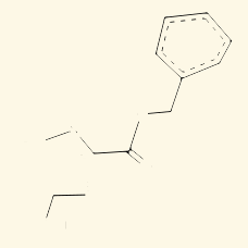 O=CN[C@@H](CCC(=O)O)C(=O)OCc1ccccc1